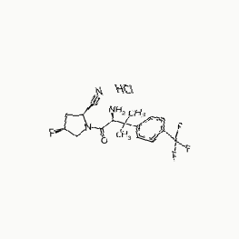 CC(C)(c1ccc(C(F)(F)F)cc1)[C@H](N)C(=O)N1C[C@@H](F)C[C@H]1C#N.Cl